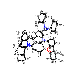 Cc1cc2c3c(c1)-n1c4c(c5cc(C(C)(C)C)cc(c51)B3c1ccc(N(c3ccccc3C)c3ccccc3C)cc1N2c1cccc2c1oc1ccccc12)C(C)(C)c1ccccc1-4